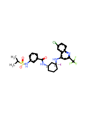 CC(C)S(=O)(=O)Nc1cccc(C(=O)N[C@@H]2CCC[C@](I)(Nc3cc(C(F)(F)F)nc4ccc(Cl)cc34)C2)c1